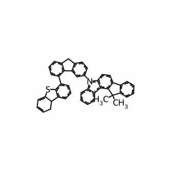 CC1(C)c2ccccc2-c2ccc3c(c21)c1ccccc1n3-c1ccc2c(c1)-c1c(cccc1-c1cccc3c1SC1=CC=CCC13)C2